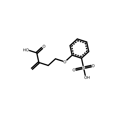 C=C(CCOc1ccccc1S(=O)(=O)O)C(=O)O